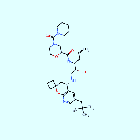 C=CC[C@H](NC(=O)[C@@H]1CN(C(=O)N2CCCCC2)CCO1)[C@H](O)CN[C@H]1CC2(CCC2)Oc2ncc(CC(C)(C)C)cc21